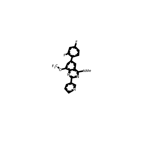 CNc1nc(-c2cccnc2)nc2c(OC(F)(F)F)cc(-c3ccc(F)cc3F)cc12